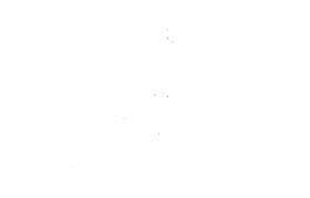 c1ccc2c(c1)ncn2SC1CCCCC1